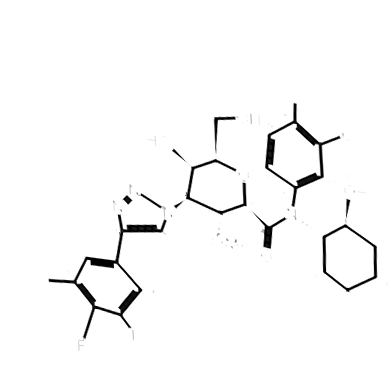 CO[C@@H]1[C@@H](n2cc(-c3cc(F)c(F)c(F)c3)nn2)[C@@H](O)[C@@H](CO)O[C@H]1C(=O)N(c1ccc(F)c(Cl)c1)[C@H]1CCCC[C@@H]1O